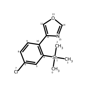 [CH3][Sn]([CH3])([CH3])[c]1cc(Cl)ccc1-c1cocn1